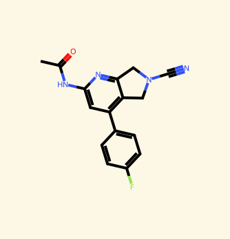 CC(=O)Nc1cc(-c2ccc(F)cc2)c2c(n1)CN(C#N)C2